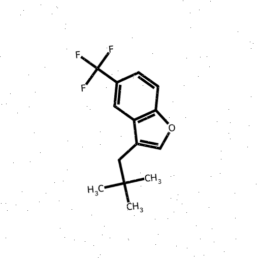 CC(C)(C)Cc1coc2ccc(C(F)(F)F)cc12